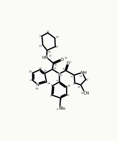 CC(C)(C)c1ccc(N(C(=O)C2CC(C#N)CN2)C(C(=O)NC2CCCCC2)c2cccnc2)cc1